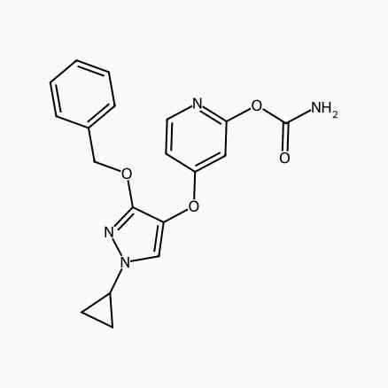 NC(=O)Oc1cc(Oc2cn(C3CC3)nc2OCc2ccccc2)ccn1